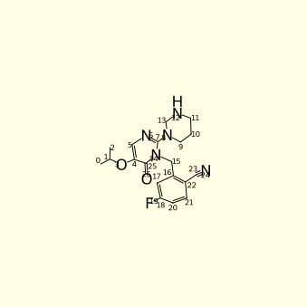 CC(C)Oc1cnc(N2CCCNC2)n(Cc2cc(F)ccc2C#N)c1=O